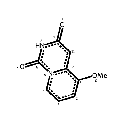 COc1cccn2c(=O)[nH]c(=O)cc12